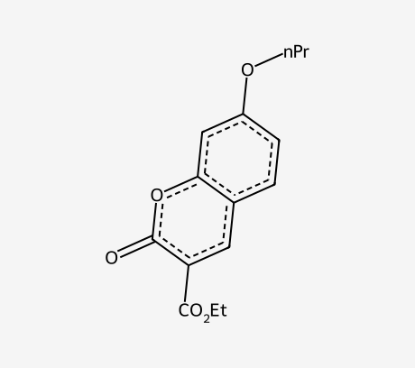 CCCOc1ccc2cc(C(=O)OCC)c(=O)oc2c1